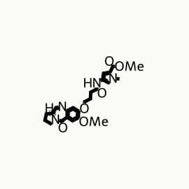 COC(=O)c1cc(NC(=O)CCCOc2cc3c(cc2OC)C(=O)N2CCC[C@H]2C=N3)cn1C